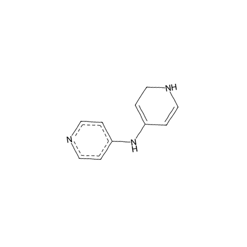 C1=CC(Nc2ccncc2)=CCN1